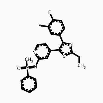 CCc1nc(-c2ccc(F)c(F)c2)c(-c2ccnc(N=S(C)(=O)c3ccccc3)c2)s1